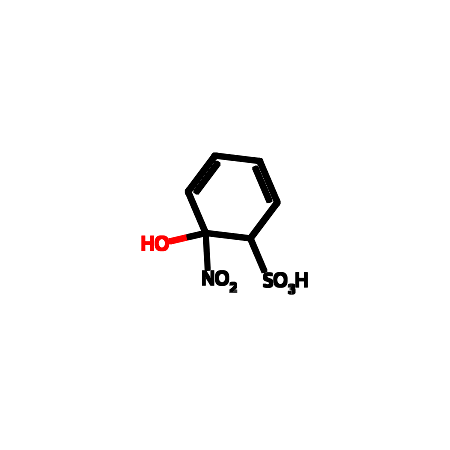 O=[N+]([O-])C1(O)C=CC=CC1S(=O)(=O)O